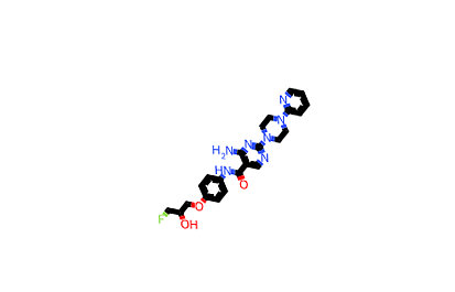 Nc1nc(N2CCN(c3ccccn3)CC2)ncc1C(=O)Nc1ccc(OCC(O)CF)cc1